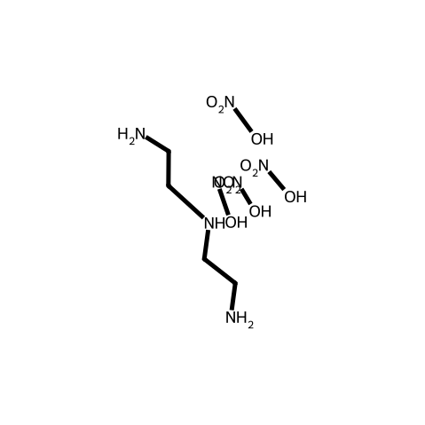 NCCNCCN.O=[N+]([O-])O.O=[N+]([O-])O.O=[N+]([O-])O.O=[N+]([O-])O